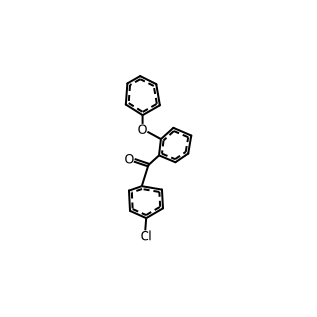 O=C(c1ccc(Cl)cc1)c1ccccc1Oc1ccccc1